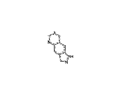 [c]1ncc2cc3[nH]ncc3cc2n1